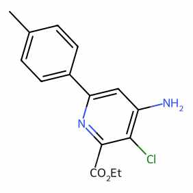 CCOC(=O)c1nc(-c2ccc(C)cc2)cc(N)c1Cl